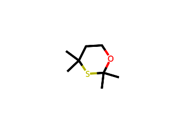 CC1(C)CCOC(C)(C)S1